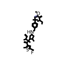 C=CC(C)C(C)(C(=C)c1cc(CF)sc1C)C1CC(NCc2ccc(C(C)(C)/C=C(/OC)C(=C)C(C)CC)cc2)CC1C